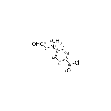 CN(CC=O)c1ccc(C(=O)Cl)cc1